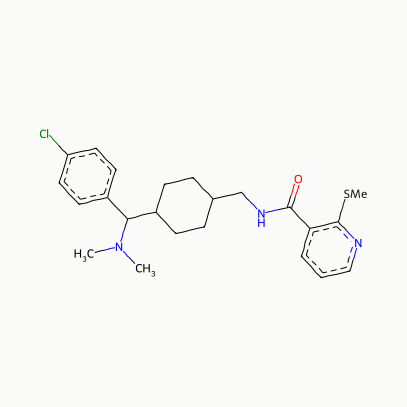 CSc1ncccc1C(=O)NCC1CCC(C(c2ccc(Cl)cc2)N(C)C)CC1